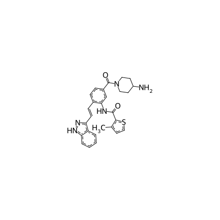 Cc1ccsc1C(=O)Nc1cc(C(=O)N2CCC(N)CC2)ccc1/C=C/c1n[nH]c2ccccc12